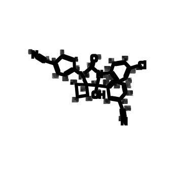 N#Cc1ccc(N2C(=O)N(c3ccc(Cl)cc3)C(O)(c3cccc(C#N)c3)C23CCC3)cc1